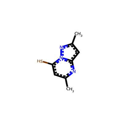 Cc1cc(S)n2nc(C)cc2n1